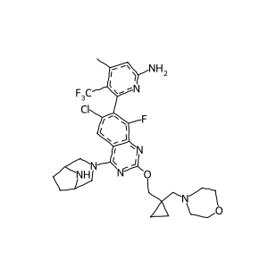 Cc1cc(N)nc(-c2c(Cl)cc3c(N4CC5CCC(C4)N5)nc(OCC4(CN5CCOCC5)CC4)nc3c2F)c1C(F)(F)F